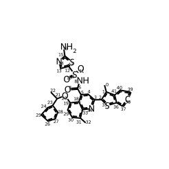 Cc1c(-c2cc(C(=O)NS(=O)(=O)c3cnc(N)s3)c3c(OC(C)c4ccccc4)ccc(C)c3n2)sc2ccccc12